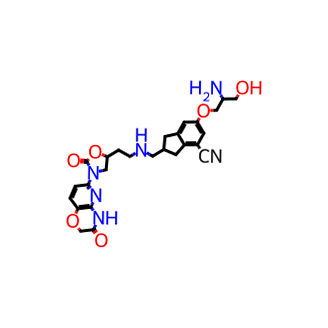 N#Cc1cc(OCC(N)CO)cc2c1CC(CNCCC1CN(c3ccc4c(n3)NC(=O)CO4)C(=O)O1)C2